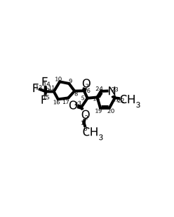 CCOC(=O)C(C(=O)C1CCC(C(F)(F)F)CC1)c1ccc(C)nc1